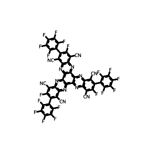 N#Cc1c(F)c(-c2c(F)c(F)c(F)c(F)c2F)c(C#N)c2nc3c4nc5c(C#N)c(F)c(-c6c(F)c(F)c(F)c(F)c6F)c(C#N)c5nc4c4nc5c(C#N)c(F)c(-c6c(F)c(F)c(F)c(F)c6F)c(C#N)c5nc4c3nc12